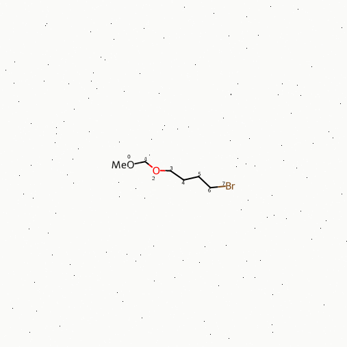 COCOCCCCBr